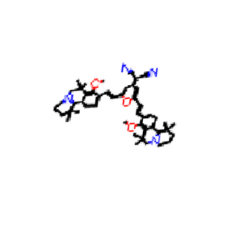 COC1=C2C(CC=C1C=CC1=CC(=C(C#N)C#N)C=C(C=CC3=CCC4C(=C3OC)C(C)(C)CN3CCCC(C)(C)C43)O1)C1N(CCCC1(C)C)CC2(C)C